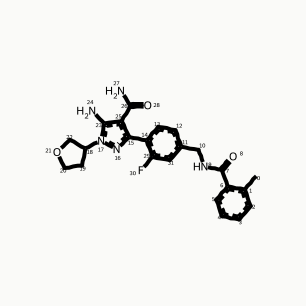 Cc1ccccc1C(=O)NCc1ccc(-c2nn(C3CCOC3)c(N)c2C(N)=O)c(F)c1